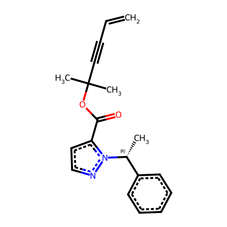 C=CC#CC(C)(C)OC(=O)c1ccnn1[C@H](C)c1ccccc1